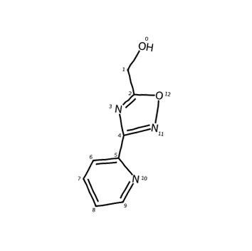 OCc1nc(-c2ccccn2)no1